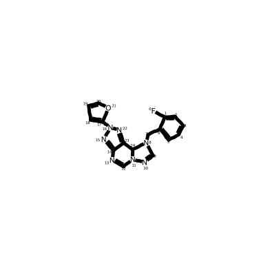 Fc1ccccc1CN1C=NN2C=Nc3nn(-c4ccco4)nc3C12